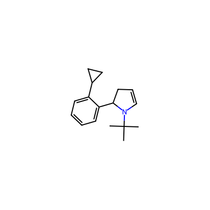 CC(C)(C)N1C=CCC1c1ccccc1C1CC1